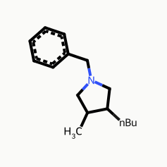 CCCCC1CN(Cc2ccccc2)CC1C